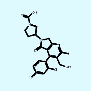 Cc1nc2c(c(-c3ccc(Cl)cc3Cl)c1CO)C(=O)N(C1CCN(C(=O)O)C1)C2